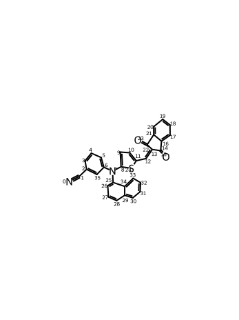 N#Cc1cccc(N(c2ccc(C=C3C(=O)c4ccccc4C3=O)s2)c2cccc3ccccc23)c1